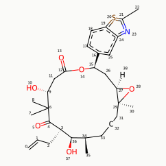 C=CC[C@@H]1C(=O)C(C)(C)[C@H](O)CC(=O)O[C@@H](c2ccc3sc(C)nc3c2)C[C@H]2O[C@@]2(C)CCC[C@@H](C)[C@H]1O